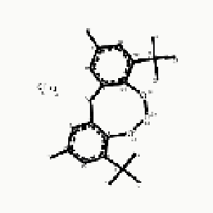 Cc1cc2c(c(C(C)(C)C)c1)[O][Ti+2][O]c1c(cc(C)cc1C(C)(C)C)C2.[Cl-].[Cl-]